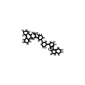 c1cc(-c2ccc3sc4nc5c6ccccc6c6ccccc6c5nc4c3c2)cc(-c2cccc3c2oc2ccc4ccccc4c23)c1